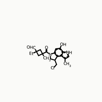 CCC1(C=O)CC(C)(C(=O)N2CC(CCl)c3c2cc(O)c2[nH]cc(C)c32)C1